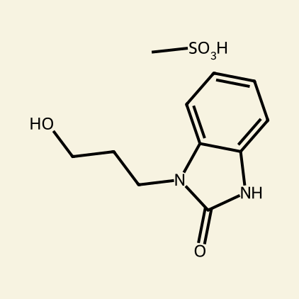 CS(=O)(=O)O.O=c1[nH]c2ccccc2n1CCCO